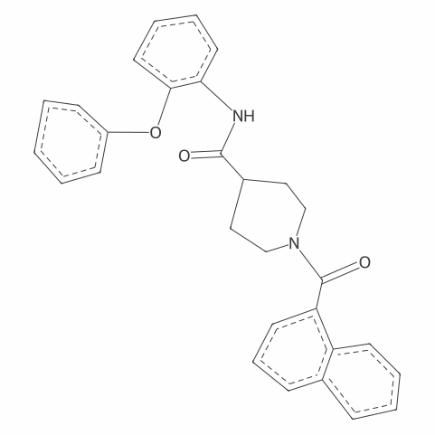 O=C(Nc1ccccc1Oc1ccccc1)C1CCN(C(=O)c2cccc3ccccc23)CC1